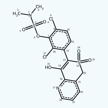 CN(C)S(=O)(=O)Oc1c(Cl)ccc(C2=C(O)c3ncccc3CS2(=O)=O)c1Cl